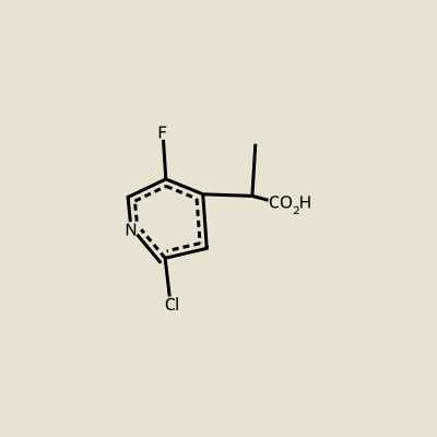 CC(C(=O)O)c1cc(Cl)ncc1F